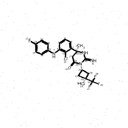 C[C@@]1(c2cccc(Nc3ccc(F)cc3)c2Cl)CC(=O)N([C@H]2C[C@](O)(C(F)(F)F)C2)C(=N)N1